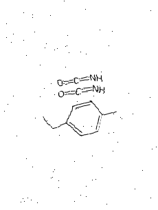 CCc1ccc(C)cc1.N=C=O.N=C=O